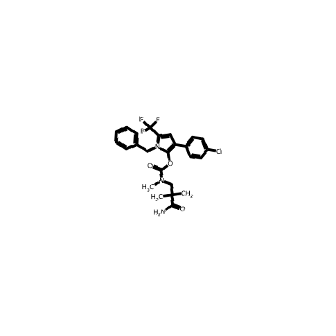 CN(CC(C)(C)C(N)=O)C(=O)Oc1c(-c2ccc(Cl)cc2)cc(C(F)(F)F)n1Cc1ccccc1